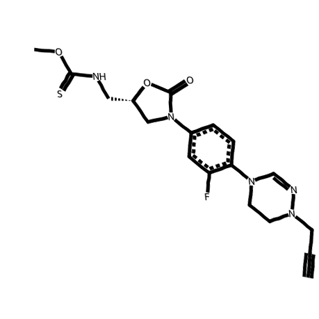 C#CCN1CCN(c2ccc(N3C[C@H](CNC(=S)OC)OC3=O)cc2F)C=N1